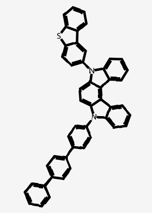 c1ccc(-c2ccc(-c3ccc(-n4c5ccccc5c5c6c7ccccc7n(-c7ccc8sc9ccccc9c8c7)c6ccc54)cc3)cc2)cc1